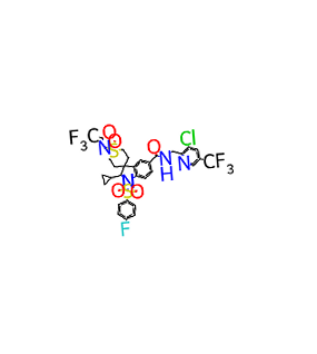 O=C(NCc1ncc(C(F)(F)F)cc1Cl)c1ccc2c(c1)C1(CCS(=O)(=NC(=O)C(F)(F)F)CC1)C(C1CC1)N2S(=O)(=O)c1ccc(F)cc1